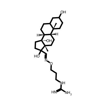 C[C@]12CCC(O)CC1CC[C@@H]1[C@H]2CC[C@]2(C)C(O)(/C=N/OCCCNC(=N)N)CC[C@@]12O